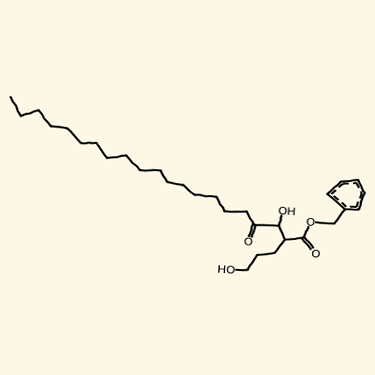 CCCCCCCCCCCCCCCCCC(=O)C(O)C(CCCO)C(=O)OCc1ccccc1